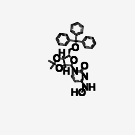 CC1(C)O[C@@H]2[C@H](O1)[C@@H](COC(c1ccccc1)(c1ccccc1)c1ccccc1)O[C@H]2n1ccc(NO)nc1=O